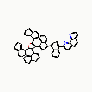 c1ccc2c(-c3oc(-c4cccc5ccccc45)c(-c4ccc(-c5ccc(-c6ccc7ccc8cccnc8c7n6)c6ccccc56)c5ccccc45)c3-c3cccc4ccccc34)cccc2c1